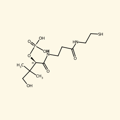 CC(C)(CO)[C@@H](OP(=O)(O)O)C(=O)NCCC(=O)NCCS